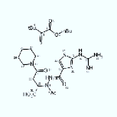 C=C(C(=O)OCCCC)C(C)(C)C.CC(=O)N(NC(=O)c1csc(NC(=N)N)n1)[C@@H](CC(=O)N1CCCCC1)C(=O)O